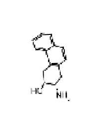 N[C@H]1Cc2ccc3ccccc3c2C[C@@H]1O